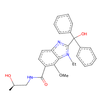 CCn1c(C(O)(c2ccccc2)c2ccccc2)nc2ccc(C(=O)NC[C@@H](C)O)c(OC)c21